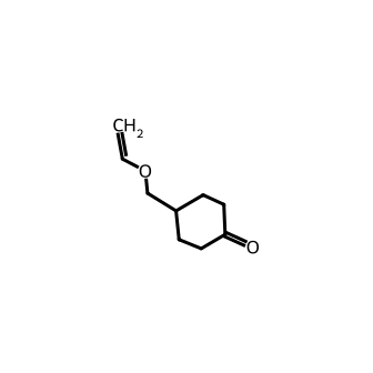 C=COCC1CCC(=O)CC1